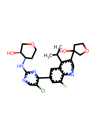 CC(C)c1c(C2(O)CCOC2)cnc2c(F)cc(-c3nc(N[C@@H]4CCOC[C@@H]4O)ncc3Cl)cc12